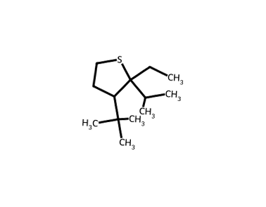 CCC1(C(C)C)SCCC1C(C)(C)C